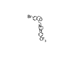 FC(F)(F)c1ccc(N2CCN(CCC3OCCc4cc(Br)ccc43)CC2)cc1